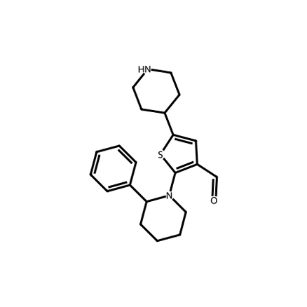 O=Cc1cc(C2CCNCC2)sc1N1CCCCC1c1ccccc1